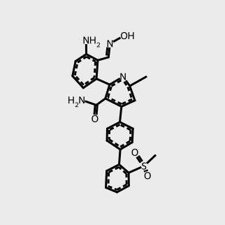 Cc1cc(-c2ccc(-c3ccccc3S(C)(=O)=O)cc2)c(C(N)=O)c(-c2cccc(N)c2C=NO)n1